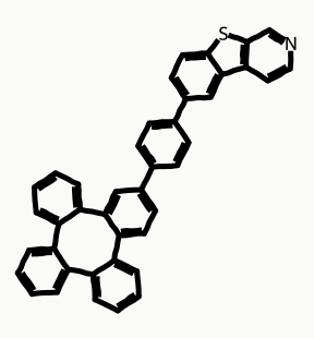 c1ccc2c(c1)-c1ccccc1-c1ccc(-c3ccc(-c4ccc5sc6cnccc6c5c4)cc3)cc1-c1ccccc1-2